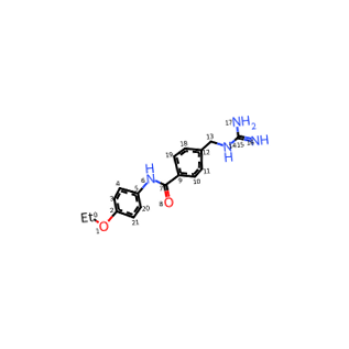 CCOc1ccc(NC(=O)c2ccc(CNC(=N)N)cc2)cc1